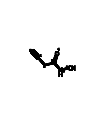 C#CCC(=O)NC#N